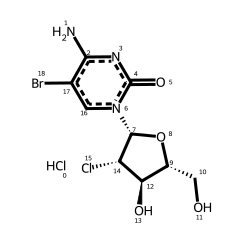 Cl.Nc1nc(=O)n([C@@H]2O[C@H](CO)[C@@H](O)[C@@H]2Cl)cc1Br